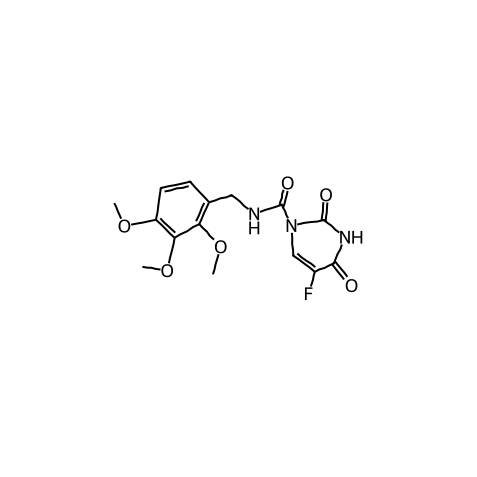 COc1ccc(CNC(=O)n2cc(F)c(=O)[nH]c2=O)c(OC)c1OC